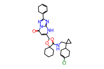 O=C(NCC1(C2CC=C(Cl)CC2)CC1)C1(OCc2cc(=O)n3nc(C4=CC=CCC4)nc3[nH]2)CCCCC1